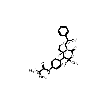 C[C@H](N)C(=O)NC1=CCC(C2[C@@H]3CC[C@H]([C@H](O)c4ccccc4)N3C(=O)OC2(C)C)C=C1